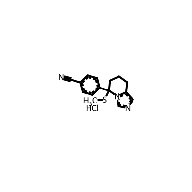 CSC1(c2ccc(C#N)cc2)CCCc2cncn21.Cl